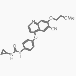 COCCOc1cc2nccc(Oc3ccc(NC(=O)NC4CC4)cc3)c2cc1C#N